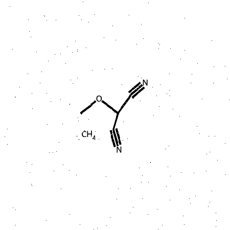 C.COC(C#N)C#N